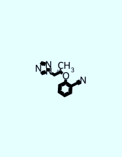 C[C@@H](Cn1cncn1)Oc1ccccc1C#N